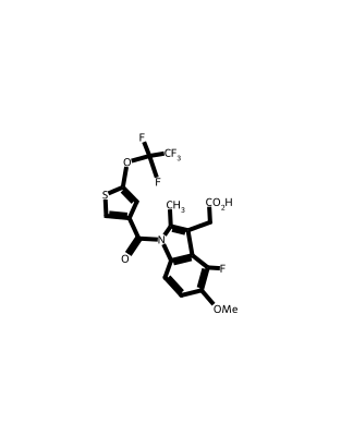 COc1ccc2c(c1F)c(CC(=O)O)c(C)n2C(=O)c1csc(OC(F)(F)C(F)(F)F)c1